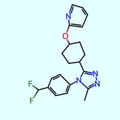 Cc1nnc(C2CCC(Oc3ccccn3)CC2)n1-c1ccc(C(F)F)cc1